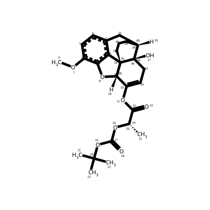 COc1ccc2c3c1O[C@H]1C(OC(=O)[C@H](C)OC(=O)OC(C)(C)C)=CC[C@@]4(O)[C@H](CCC[C@]314)C2